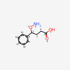 NOC(CCC(=O)O)c1ccccc1